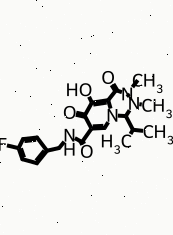 CC(C)C1N(C)N(C)C(=O)c2c(O)c(=O)c(C(=O)NCc3ccc(F)cc3)cn21